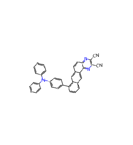 N#Cc1nc2ccc3cc4c(-c5ccc(N(c6ccccc6)c6ccccc6)cc5)cccc4cc3c2nc1C#N